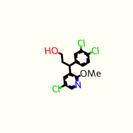 COc1ncc(Cl)cc1C(CCO)c1ccc(Cl)c(Cl)c1